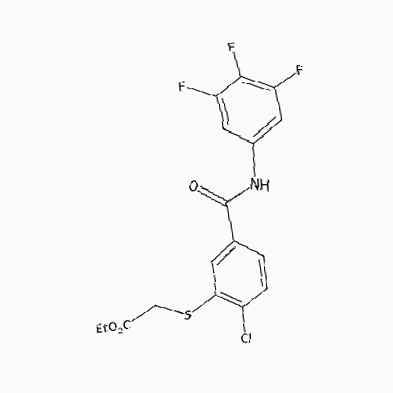 CCOC(=O)CSc1cc(C(=O)Nc2cc(F)c(F)c(F)c2)ccc1Cl